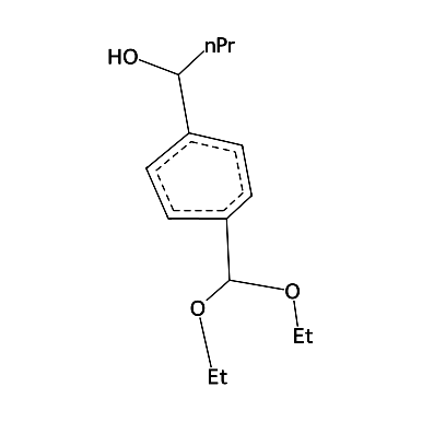 CCCC(O)c1ccc(C(OCC)OCC)cc1